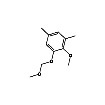 COCOc1cc(C)cc(C)c1OC